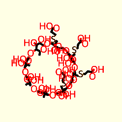 CC1OC2OC3C(C)OC(OC4C(CSCCC(=O)O)OC(OC5C(CSCCC(=O)O)OC(OC6C(CSCCC(=O)O)OC(OC7C(CSCCC(=O)O)OC(OC8C(C)OC(OC9C(C)OC(OC1C(O)C2O)C(O)C9O)C(O)C8O)C(O)C7O)C(O)C6O)C(O)C5O)C(O)C4O)C(O)C3O